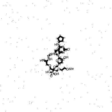 COCCOC[C@@](COCC(=N)NN=N)(OC[C@@H]1C[C@@H](O)[C@H](n2ncc3c(NC4CCCC4)nc(Cl)nc32)O1)P(=O)(O)O